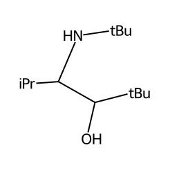 CC(C)C(NC(C)(C)C)C(O)C(C)(C)C